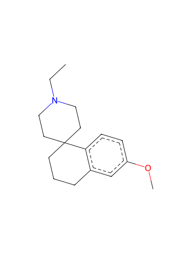 CCN1CCC2(CCCc3cc(OC)ccc32)CC1